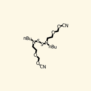 CCCCN(CCOCOC#N)SSN(CCCC)CCOCOC#N